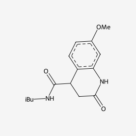 CCC(C)NC(=O)C1CC(=O)Nc2cc(OC)ccc21